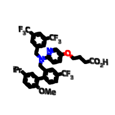 COc1ccc(C(C)C)cc1-c1ccc(C(F)(F)F)cc1CN(Cc1cc(C(F)(F)F)cc(C(F)(F)F)c1)c1ccc(OCCCC(=O)O)cn1